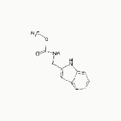 COC(=O)N[CH]c1cc2ccccc2[nH]1